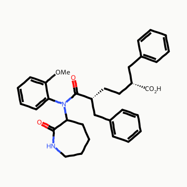 COc1ccccc1N(C(=O)[C@H](CC[C@H](Cc1ccccc1)C(=O)O)Cc1ccccc1)C1CCCCNC1=O